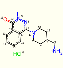 Cl.NCC1CCN(c2n[nH]c(=O)c3ccccc23)CC1